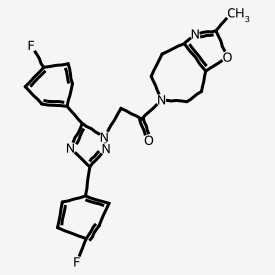 Cc1nc2c(o1)CCN(C(=O)Cn1nc(-c3ccc(F)cc3)nc1-c1ccc(F)cc1)CC2